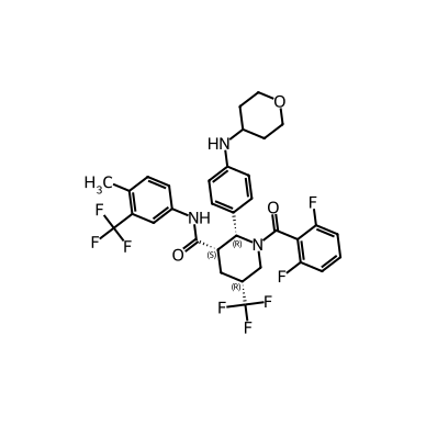 Cc1ccc(NC(=O)[C@H]2C[C@@H](C(F)(F)F)CN(C(=O)c3c(F)cccc3F)[C@H]2c2ccc(NC3CCOCC3)cc2)cc1C(F)(F)F